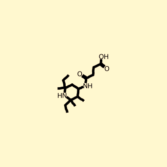 CCC1(C)CC(NC(=O)CCC(=O)O)C(C)C(C)(CC)N1